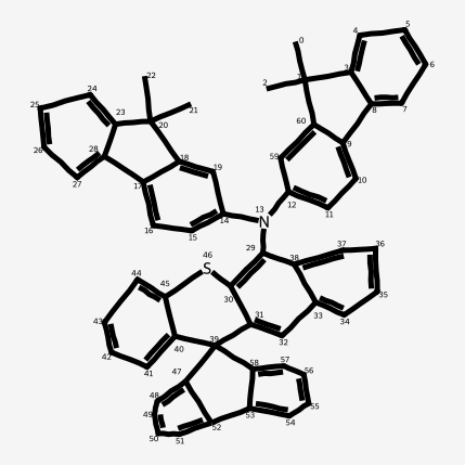 CC1(C)c2ccccc2-c2ccc(N(c3ccc4c(c3)C(C)(C)c3ccccc3-4)c3c4c(cc5ccccc35)C3(c5ccccc5S4)c4ccccc4-c4ccccc43)cc21